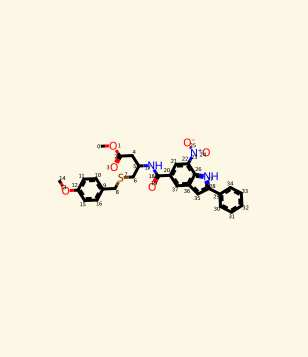 COC(=O)CC(CSCc1ccc(OC)cc1)NC(=O)c1cc([N+](=O)[O-])c2[nH]c(-c3ccccc3)cc2c1